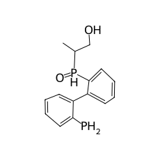 CC(CO)[PH](=O)c1ccccc1-c1ccccc1P